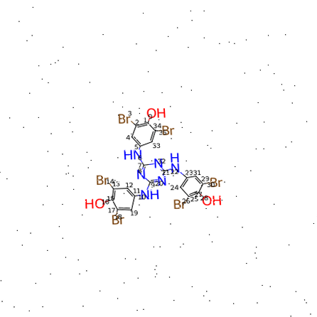 Oc1c(Br)cc(Nc2nc(Nc3cc(Br)c(O)c(Br)c3)nc(Nc3cc(Br)c(O)c(Br)c3)n2)cc1Br